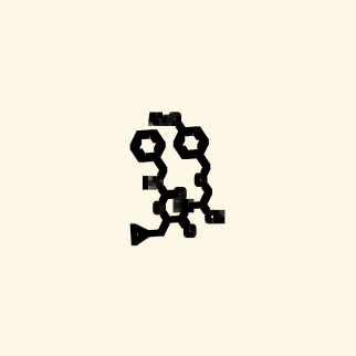 COc1ccc(COCC(C#N)NC(=O)C(CC2CC2)OC(=O)NCc2ccccc2)cc1